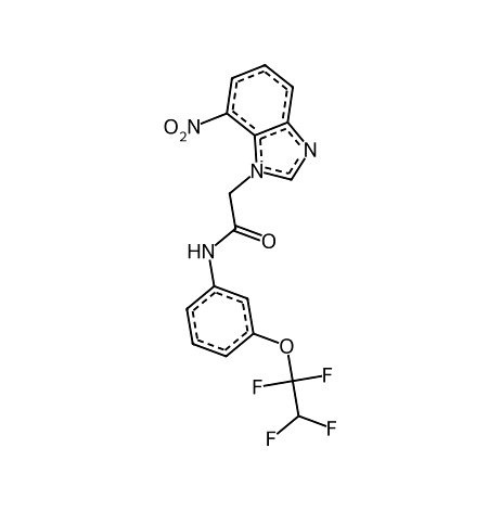 O=C(Cn1cnc2cccc([N+](=O)[O-])c21)Nc1cccc(OC(F)(F)C(F)F)c1